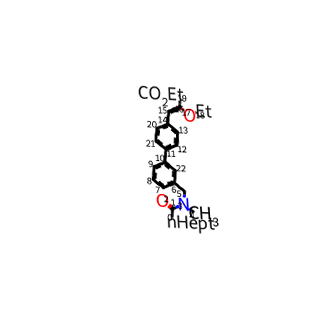 CCCCCCCC(=O)N(C)Cc1cccc(-c2ccc(C=C(OCC)C(=O)OCC)cc2)c1